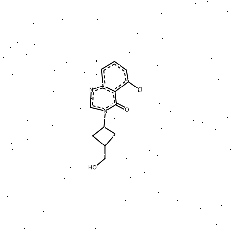 O=c1c2c(Cl)cccc2ncn1C1CC(CO)C1